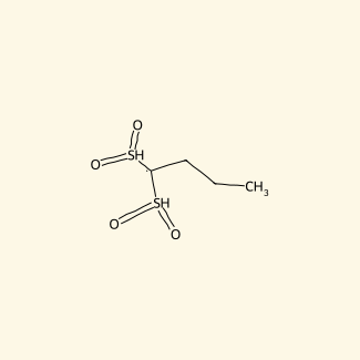 CCC[C]([SH](=O)=O)[SH](=O)=O